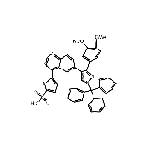 COc1ccc(-c2nn(C(c3ccccc3)(c3ccccc3)C3C=CC=CC3)cc2-c2ccc3ncnc(-c4ccc(S(C)(=O)=O)s4)c3c2)cc1OC